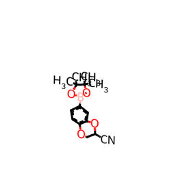 CC1(C)OB(c2ccc3c(c2)OC(C#N)CO3)OC1(C)C